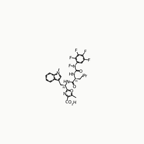 Cc1oc([C@@H](Cc2cn(C)c3ccccc23)NC(=O)[C@H](CC(C)C)NC(=O)N(F)c2cc(F)c(F)c(F)c2F)nc1C(=O)O